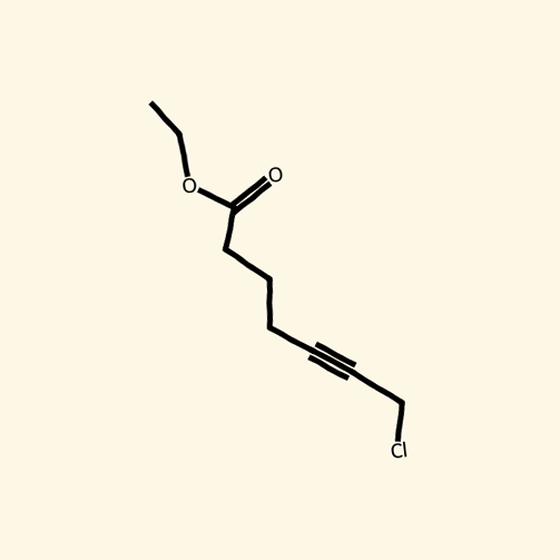 CCOC(=O)CCCC#CCCl